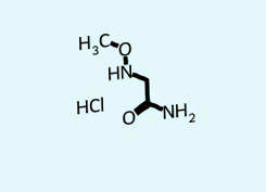 CONCC(N)=O.Cl